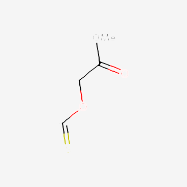 COC(=O)CO[C]=S